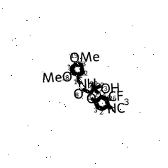 [C-]#[N+]c1ccc(OC(C(=O)NCc2ccc(OC)cc2OC)C(C)(C)CO)cc1C(F)(F)F